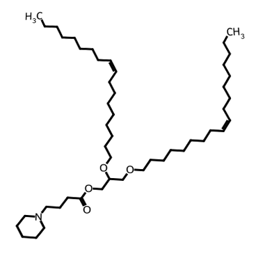 CCCCCCCC/C=C\CCCCCCCCOCC(COC(=O)CCCN1CCCCC1)OCCCCCCCC/C=C\CCCCCCCC